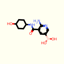 Nc1ncc(B(O)O)cc1C(=O)NC1CCC(O)CC1